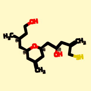 C=C(CS)C[C@H](O)C[C@H]1CC(=C)C[C@@H](C[C@@H](C)CCO)O1